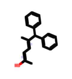 C/C(O)=C\C=C(/C)C(c1ccccc1)c1ccccc1